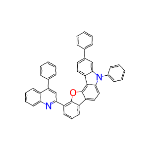 c1ccc(-c2ccc3c4c5oc6c(-c7cc(-c8ccccc8)c8ccccc8n7)cccc6c5ccc4n(-c4ccccc4)c3c2)cc1